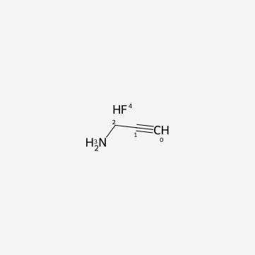 C#CCN.F